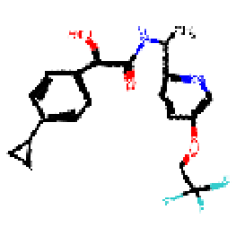 CC(NC(=O)C(O)c1ccc(C2CC2)cc1)c1ccc(OCC(F)(F)F)cn1